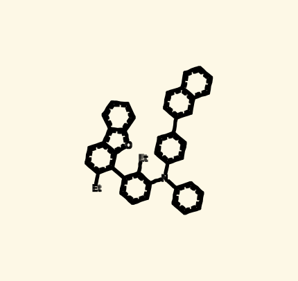 CCc1ccc2c(oc3ccccc32)c1-c1cccc(N(c2ccccc2)c2ccc(-c3ccc4ccccc4c3)cc2)c1CC